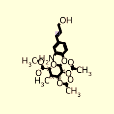 COC(=O)[C@H]1OC(Oc2ccc(/C=C/CO)cc2N)[C@H](OC(C)=O)[C@@H](OC(C)=O)[C@@H]1C